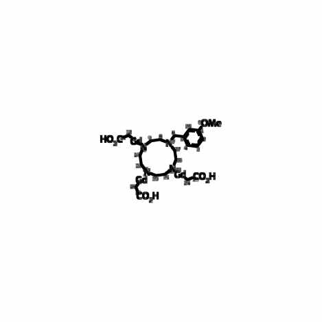 COc1cccc(CN2CC[N]([Gd][CH2]C(=O)O)CC[N]([Gd][CH2]C(=O)O)CC[N]([Gd][CH2]C(=O)O)CC2)c1